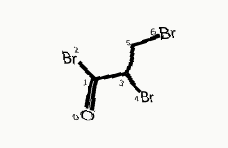 O=C(Br)C(Br)CBr